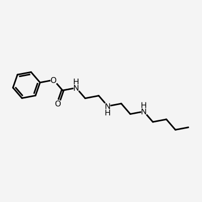 CCCCNCCNCCNC(=O)Oc1ccccc1